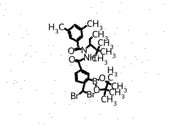 CCC(N(NC(=O)c1ccc(C(Br)Br)c(B2OC(C)(C)C(C)(C)O2)c1)C(=O)c1cc(C)cc(C)c1)C(C)(C)C